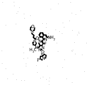 CN(c1nc(OC[C@@]23CCCN2C[C@H](F)C3)nc2c(F)c(-c3nc(N)cc4cccc(F)c34)ncc12)[C@@H]1CCN(C(=O)/C=C/CN2CCOCC2)C1